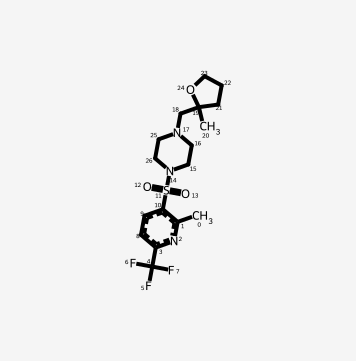 Cc1nc(C(F)(F)F)ccc1S(=O)(=O)N1CCN(CC2(C)CCCO2)CC1